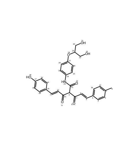 Cc1ccc(/C=C/C(=O)C(C(=O)/C=C/c2ccc(O)cc2)C(=O)Nc2ccc(OC(CO)CO)cc2)cc1